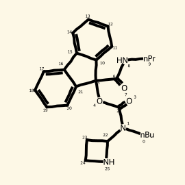 CCCCN(C(=O)OC1(C(=O)NCCC)c2ccccc2-c2ccccc21)C1CCN1